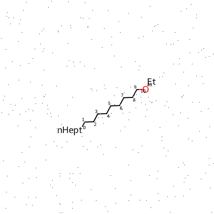 CCCCCCCCCCCCCCCCOCC